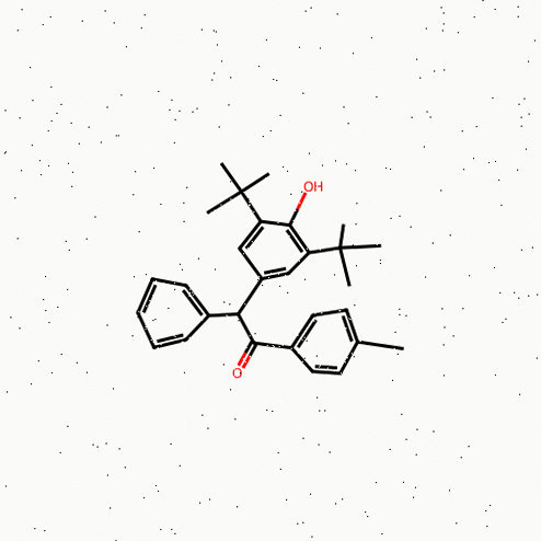 Cc1ccc(C(=O)C(c2ccccc2)c2cc(C(C)(C)C)c(O)c(C(C)(C)C)c2)cc1